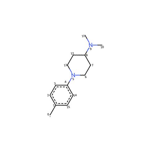 [CH2]c1ccc(N2CCC(N(C)C)CC2)cc1